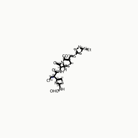 CCSc1nnc(SCC2=C(C(=O)O)N3C(=O)C(NC(=O)/C(=C/Cl)c4csc(NC=O)n4)[C@H]3SC2)s1